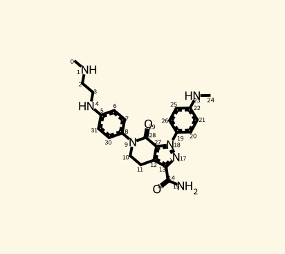 CNCCNc1ccc(N2CCc3c(C(N)=O)nn(-c4ccc(NC)cc4)c3C2=O)cc1